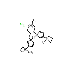 CCCC[C]1([Hf+2][C]2(CCCC)C=CC([Si]3(C)CCC3)=C2)C=CC([Si]2(C)CCC2)=C1.[Cl-].[Cl-]